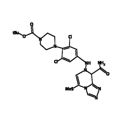 CSC1=CN(Nc2cc(Cl)c(N3CCN(C(=O)OC(C)(C)C)CC3)c(Cl)c2)C(C(N)=O)c2nncn21